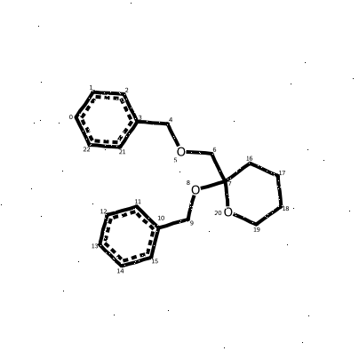 c1ccc(COCC2(OCc3ccccc3)CCCCO2)cc1